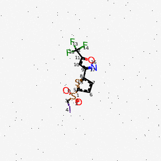 O=S(=O)(CI)c1ccc(-c2cc(C(F)(F)F)on2)s1